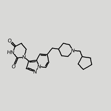 O=C1CCN(c2cnn3ccc(CC4CCN(CC5CCCC5)CC4)cc23)C(=O)N1